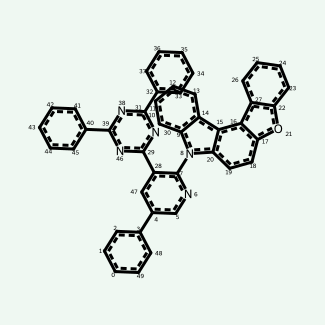 c1ccc(-c2cnc(-n3c4ccccc4c4c5c(ccc43)oc3ccccc35)c(-c3nc(-c4ccccc4)nc(-c4ccccc4)n3)c2)cc1